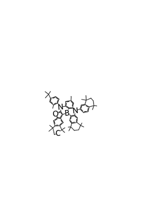 Cc1cc2c3c(c1)N(c1ccc(C(C)(C)C)cc1C)c1oc4cc5c(cc4c1B3c1cc3c(cc1N2c1ccc2c(c1)C(C)(C)CCC2(C)C)C(C)(C)CCC3(C)C)C(C)(C)CCC5(C)C